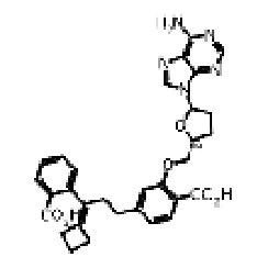 Nc1ncnc2c1ncn2C1CC[C@@H](COc2cc(CCC(=C3CCC3)c3ccccc3C(=O)O)ccc2C(=O)O)O1